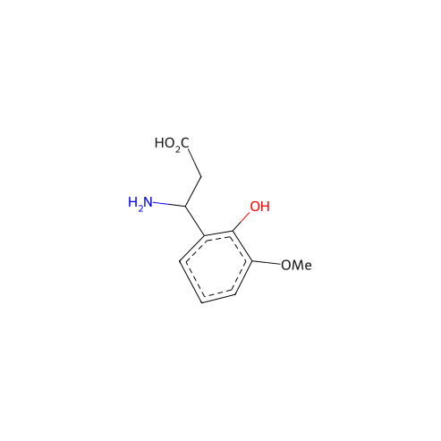 COc1cccc(C(N)CC(=O)O)c1O